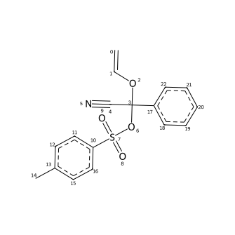 C=COC(C#N)(OS(=O)(=O)c1ccc(C)cc1)c1ccccc1